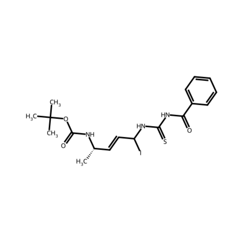 C[C@@H](/C=C/C(I)NC(=S)NC(=O)c1ccccc1)NC(=O)OC(C)(C)C